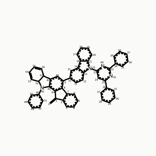 C=C1c2ccccc2-c2c(-c3ccc4c(c3)c3ccccc3n4-c3cc(-c4ccccc4)nc(-c4ccccc4)n3)cc3c(c21)N(c1ccccc1)C1C=CC=CC31